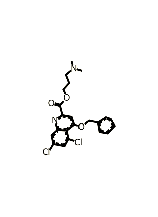 CN(C)CCCOC(=O)c1cc(OCc2ccccc2)c2c(Cl)cc(Cl)cc2n1